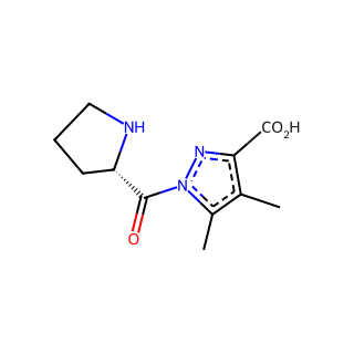 Cc1c(C(=O)O)nn(C(=O)[C@@H]2CCCN2)c1C